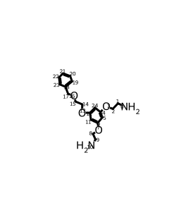 NCCOc1cc(OCCN)cc(OCCOCc2ccccc2)c1